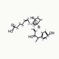 CC(c1ccc(O)cc1)C(O)/C=C/[C@@H]1[C@H](C/C=C\CCCC(=O)O)[C@@H]2CC[C@@H]1O2